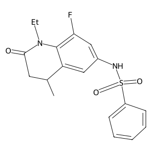 CCN1C(=O)CC(C)c2cc(NS(=O)(=O)c3ccccc3)cc(F)c21